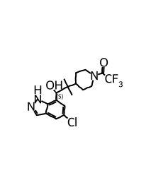 CC(C)(C1CCN(C(=O)C(F)(F)F)CC1)[C@H](O)c1cc(Cl)cc2cn[nH]c12